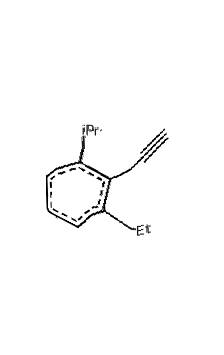 C#Cc1c(CC)cccc1[C](C)C